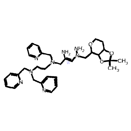 CC1(C)OC2CCOC(CN(N)/C=C(\N)CN(CCN(Cc3ccccn3)Cc3ccccn3)Cc3ccccn3)C2O1